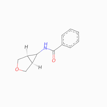 O=C(NC1[C@H]2COC[C@@H]12)c1ccccc1